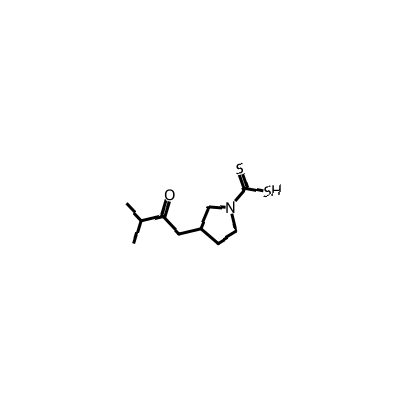 CC(C)C(=O)CC1CCN(C(=S)S)C1